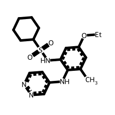 CCOc1cc(C)c(Nc2ccnnc2)c(NS(=O)(=O)C2CCCCC2)c1